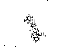 CN1C(=O)[C@@H](NC(=O)c2cc(Cc3ccccc3F)[nH]n2)COc2ccccc21